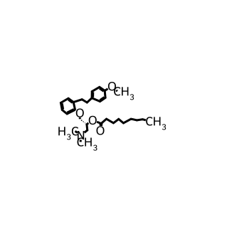 CCCCCCCCC(=O)O[C@@H](COc1ccccc1CCc1ccc(OC)cc1)CN(C)C